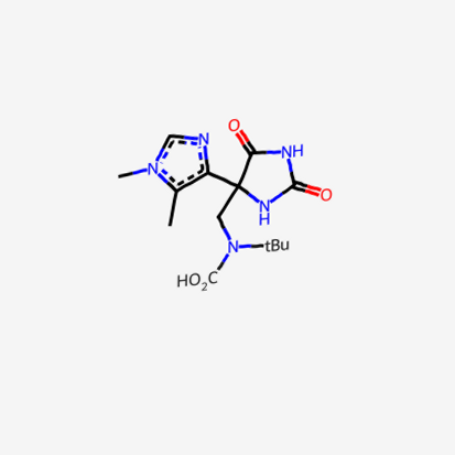 Cc1c(C2(CN(C(=O)O)C(C)(C)C)NC(=O)NC2=O)ncn1C